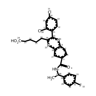 C[C@@H](NC(=O)c1ccc2nc(-c3ccc(Cl)cc3Cl)c(CCCCC(=O)O)nc2c1)c1ccc(F)cc1